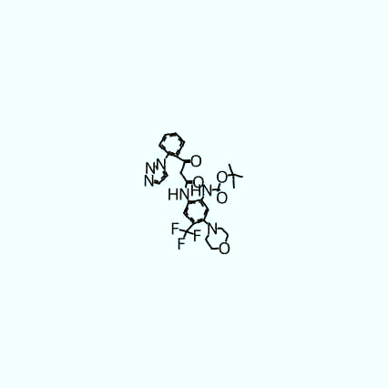 CC(C)(C)OC(=O)Nc1cc(N2CCOCC2)c(C(F)(F)F)cc1NC(=O)CC(=O)c1ccccc1-n1ccnn1